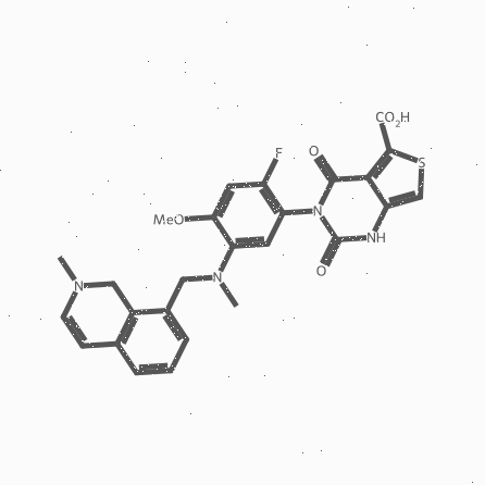 COc1cc(F)c(-n2c(=O)[nH]c3csc(C(=O)O)c3c2=O)cc1N(C)Cc1cccc2c1CN(C)C=C2